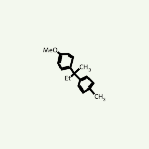 CCC(C)(c1ccc(C)cc1)c1ccc(OC)cc1